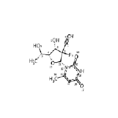 C#CC1(F)[C@@H](O)[C@@H]([C@H](C)O)O[C@H]1n1c(C)cc(=O)[nH]c1=O